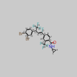 O=C(NC1CC1)c1ccc(/C(F)=C/C(c2ccc(Br)c(Br)c2)C(F)(F)F)cc1C(F)(F)F